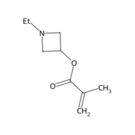 C=C(C)C(=O)OC1CN(CC)C1